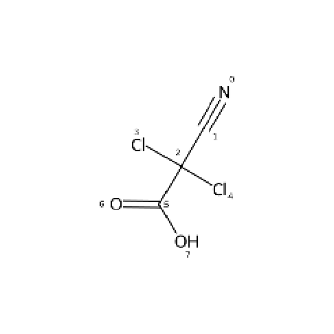 N#CC(Cl)(Cl)C(=O)O